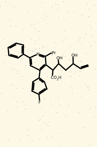 C=CC(O)CC(O)C(C(=O)O)c1c(-c2ccc(F)cc2)cc(-c2ccccc2)nc1C(C)C